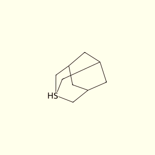 C1C2CC3CC1C[SH](C2)C3